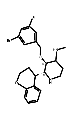 CNC1CCN[C@H](C2CCOc3ccccc32)[C@H]1OCc1cc(Br)cc(Br)c1